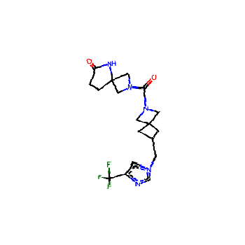 O=C1CCC2(CN(C(=O)N3CC4(CC(Cn5cnc(C(F)(F)F)c5)C4)C3)C2)N1